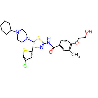 Cc1cc(C(=O)Nc2nc(-c3cc(Cl)cs3)c(N3CCN(C4CCCCC4)CC3)s2)ccc1OCCO